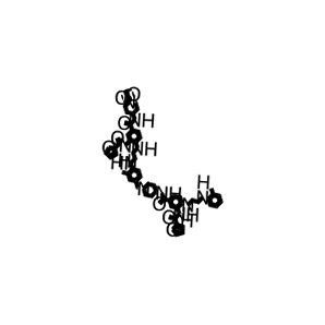 Cc1ccccc1NCCNc1ccc(C(=O)NC2CCN(Cc3ccc(NCCNc4ccc(C(=O)NC5CCN(S(C)(=O)=O)CC5)cc4NC(=O)c4ccco4)c(C)c3)CC2)cc1NC(=O)c1ccco1